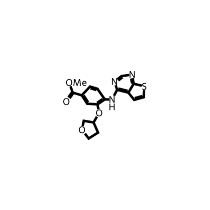 COC(=O)c1ccc(Nc2ncnc3sccc23)c(OC2CCOC2)c1